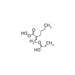 C=C(CCCC)C(=O)OO.C=CC(=O)O